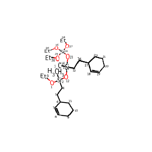 CCO[Si](C)(CCC1C=CCCC1)O[Si](C)(CCC1C=CCCC1)O[Si](OCC)(OCC)OCC